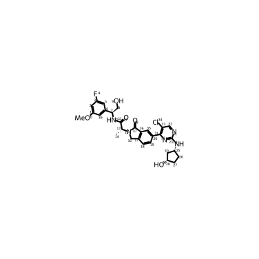 COc1cc(F)cc([C@@H](CO)NC(=O)[C@@H](C)N2Cc3ccc(-c4nc(N[C@@H]5CC[C@H](O)C5)ncc4Cl)cc3C2=O)c1